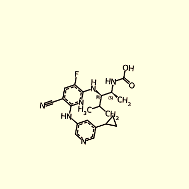 CC(C)[C@@H](Nc1nc(Nc2cncc(C3CC3)c2)c(C#N)cc1F)[C@H](C)NC(=O)O